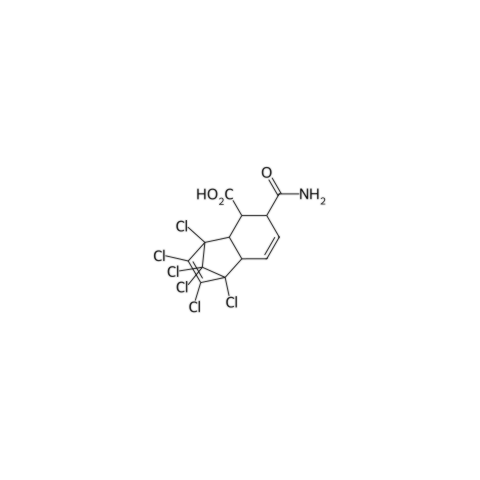 NC(=O)C1C=CC2C(C1C(=O)O)C1(Cl)C(Cl)=C(Cl)C2(Cl)C1(Cl)Cl